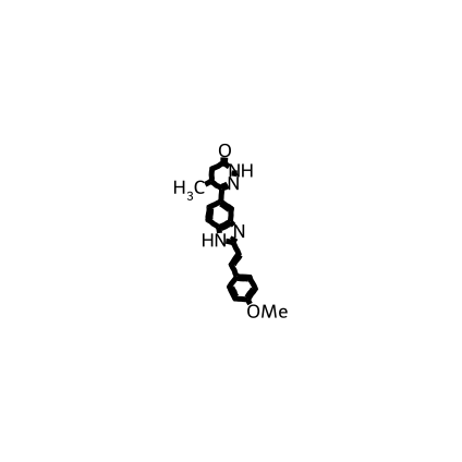 COc1ccc(C=Cc2nc3cc(C4=NNC(=O)CC4C)ccc3[nH]2)cc1